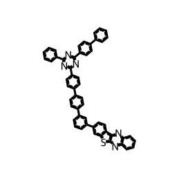 c1ccc(-c2ccc(-c3nc(-c4ccccc4)nc(-c4ccc(-c5ccc(-c6cccc(-c7ccc8c(c7)sc7nc9ccccc9nc78)c6)cc5)cc4)n3)cc2)cc1